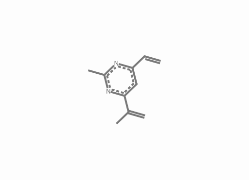 C=Cc1cc(C(=C)C)nc(C)n1